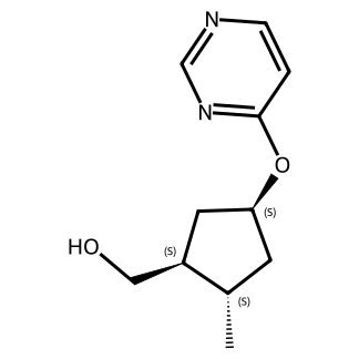 C[C@H]1C[C@H](Oc2ccncn2)C[C@@H]1CO